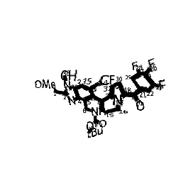 COCc1nc2c(CNC(=O)OC(C)(C)C)c(-c3cccn4c(C(=O)c5cc(F)c(F)c(F)c5)ccc34)c(C(F)(F)F)cc2n1C